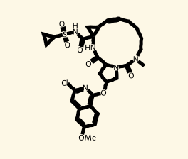 COc1ccc2c(OC3CC4C(=O)NC5(C(=O)NS(=O)(=O)C6CC6)CC5C=CCCCCN(C)C(=O)N4C3)nc(Cl)cc2c1